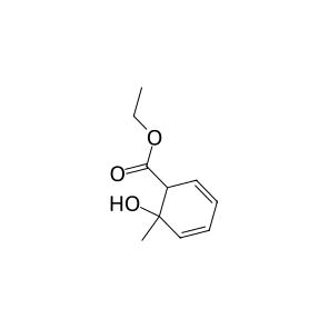 CCOC(=O)C1C=CC=CC1(C)O